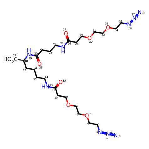 [N-]=[N+]=NCCOCCOCCC(=O)NCCCC[C@H](NC(=O)CCCNC(=O)CCOCCOCCN=[N+]=[N-])C(=O)O